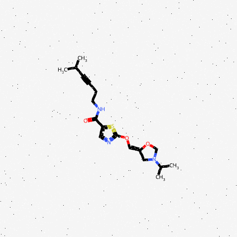 CC(C)C#CCCNC(=O)c1cnc(O/C=C2/CN(C(C)C)CO2)s1